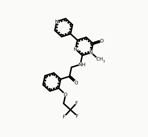 Cn1c(NCC(=O)c2ccccc2OCC(F)(F)F)nc(-c2ccncc2)cc1=O